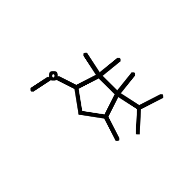 COC1CC(C)C(C)(C(C)C)C1(C)C